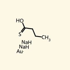 CCCC(O)=S.[Au].[NaH].[NaH]